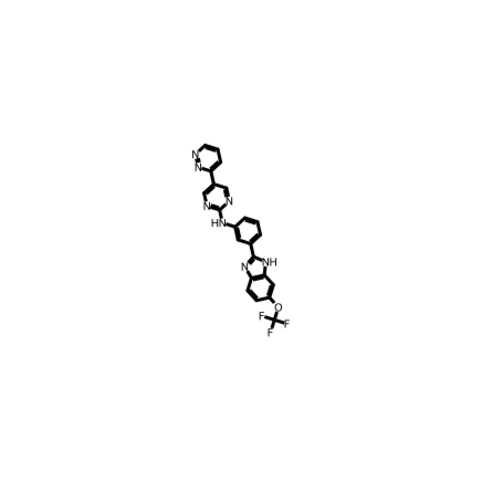 FC(F)(F)Oc1ccc2nc(-c3cccc(Nc4ncc(-c5cccnn5)cn4)c3)[nH]c2c1